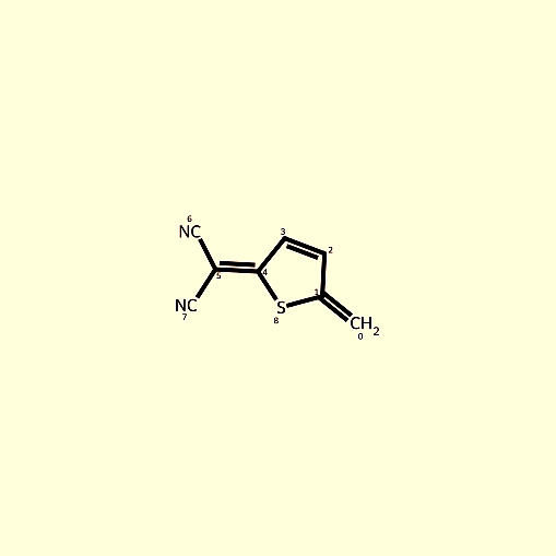 C=c1ccc(=C(C#N)C#N)s1